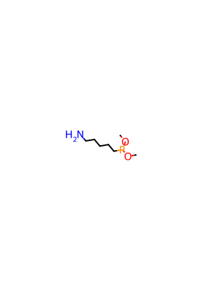 COP(CCCCCN)OC